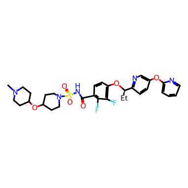 CC[C@@H](Oc1ccc(C(=O)NS(=O)(=O)N2CCC(OC3CCN(C)CC3)CC2)c(F)c1F)c1ccc(Oc2ccccn2)cn1